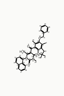 Cc1c2c(c(C(=O)c3c(N)n(-c4cccc5ccccc45)c(=O)n(C)c3=O)c(C)c1OCc1ccccc1)OC(C)(C)C2